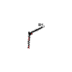 B.CCCCCCCCCCCCCCCC[N+](CC)(CC)CCCCCCCCCCCCCCCC